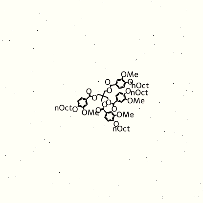 CCCCCCCCOc1ccc(C(=O)OCC(COC(=O)c2ccc(OCCCCCCCC)c(OC)c2)(COC(=O)c2ccc(OCCCCCCCC)c(OC)c2)COC(=O)c2ccc(OCCCCCCCC)c(OC)c2)cc1OC